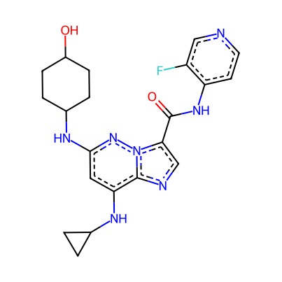 O=C(Nc1ccncc1F)c1cnc2c(NC3CC3)cc(NC3CCC(O)CC3)nn12